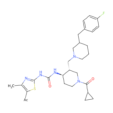 CC(=O)c1sc(NC(=O)N[C@@H]2CCN(C(=O)C3CC3)C[C@H]2CN2CCCC(Cc3ccc(F)cc3)C2)nc1C